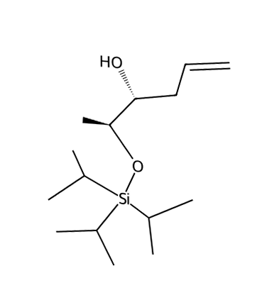 C=CC[C@@H](O)[C@H](C)O[Si](C(C)C)(C(C)C)C(C)C